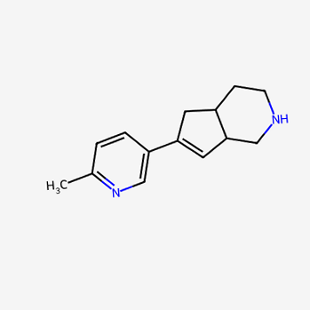 Cc1ccc(C2=CC3CNCCC3C2)cn1